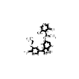 CCOc1cc(-c2n[nH]c3ccc(O[C@H](C)c4c(Cl)cncc4Cl)cc23)cnc1N